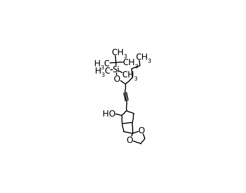 CCCCC(C#CC1CC2C(CC23OCCO3)C1O)O[Si](C)(C)C(C)(C)C